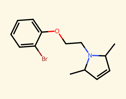 CC1C=CC(C)N1CCOc1ccccc1Br